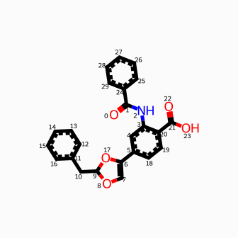 O=C(Nc1cc(C2=COC(Cc3ccccc3)O2)ccc1C(=O)O)c1ccccc1